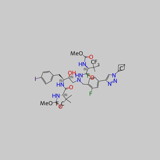 COC(=O)N[C@H](C(=O)N[C@@H](Cc1ccc(I)cc1)[C@@H](O)CN(Cc1c(F)cc(-c2cn(C34CC(C3)C4)nn2)cc1F)NC(=O)[C@@H](NC(=O)OC)C(C)(C)C(F)(F)F)C(C)(C)C(F)(F)F